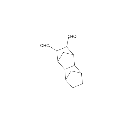 O=CC1C(C=O)C2CC1C1C3CCC(C3)C21